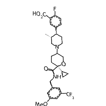 COc1cc(CNC(=O)[C@@]2(C3CC3)CCC(N3CC[C@H](c4ccc(F)c(C(=O)O)c4)[C@@H](C)C3)CO2)cc(C(F)(F)F)c1